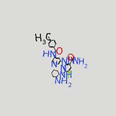 Cc1ccc(C(=O)Nc2cncc(Nc3nc(N[C@@H]4CCCC[C@@H]4N)c(F)cc3C(N)=O)c2)cc1